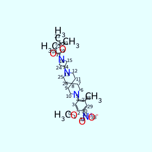 COc1cc(N2CCC3(CC2)CCN(C2CN(C(=O)OC(C)(C)C)C2)CC3)c(C)cc1[N+](=O)[O-]